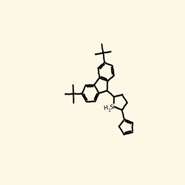 CC(C)(C)c1ccc2c(c1)-c1cc(C(C)(C)C)ccc1C2C1CCC(C2=CC=CC2)[SiH2]1